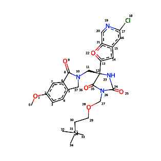 COc1ccc2c(c1)C(=O)N(C[C@@]1(c3cc4cc(Cl)ncc4o3)NC(=O)N(COCC[Si](C)(C)C)C1=O)C2